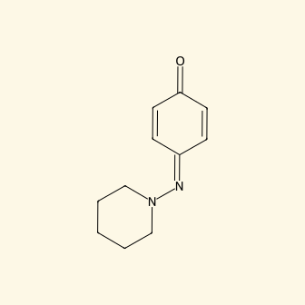 O=C1C=CC(=NN2CCCCC2)C=C1